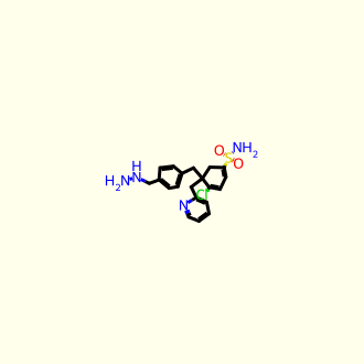 NNCc1ccc(CC2(Cc3ccccn3)CC(S(N)(=O)=O)=CC=C2Cl)cc1